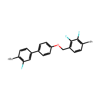 CCCCc1ccc(-c2ccc(OCc3ccc(CCC)c(F)c3F)cc2)cc1F